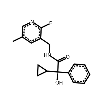 Cc1cnc(F)c(CNC(=O)[C@](O)(c2ccccc2)C2CC2)c1